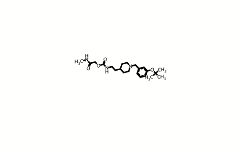 CNC(=O)COC(=O)NCCC1CCN(Cc2cccc(OC(C)(C)C)c2)CC1